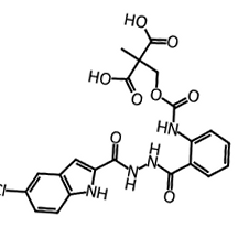 CC(COC(=O)Nc1ccccc1C(=O)NNC(=O)c1cc2cc(Cl)ccc2[nH]1)(C(=O)O)C(=O)O